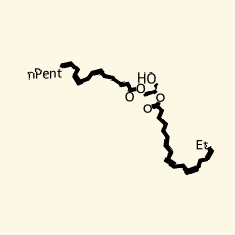 CC/C=C\C/C=C\C/C=C\CCCCCCCC(=O)O[C@@H](CO)COC(=O)CCCC/C=C\C/C=C\C/C=C\CCCCC